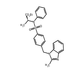 CCOC(=O)[C@H](C)N(c1ccccc1)S(=O)(=O)c1ccc(Cn2c(C)nc3ccccc32)cc1